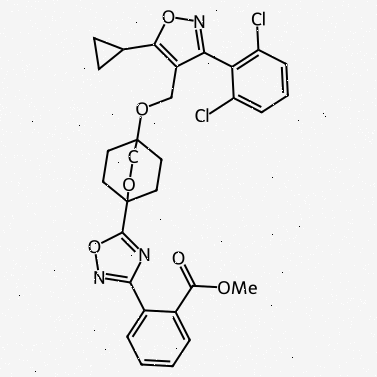 COC(=O)c1ccccc1-c1noc(C23CCC(OCc4c(-c5c(Cl)cccc5Cl)noc4C4CC4)(CC2)CO3)n1